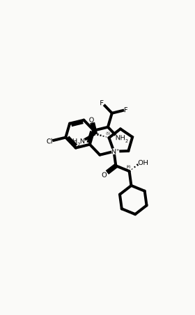 NC(=O)[C@@H]1CCC[N+]1(Cc1cc(Cl)ccc1C(N)C(F)F)C(=O)[C@H](O)C1CCCCC1